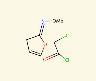 CON=C1CC=CO1.O=C(Cl)CCl